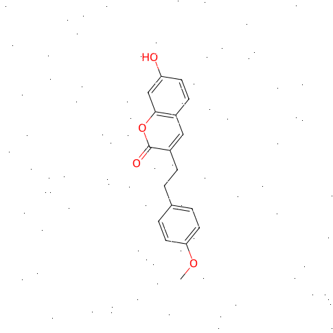 COc1ccc(CCc2cc3ccc(O)cc3oc2=O)cc1